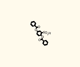 O=C(Oc1ccc(OC(=O)c2ccccc2)c(S(=O)(=O)O)c1)c1ccccc1